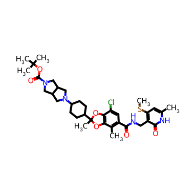 CSc1cc(C)[nH]c(=O)c1CNC(=O)c1cc(Cl)c2c(c1C)OC(C)(C1CCC(N3CC4CN(C(=O)OC(C)(C)C)CC4C3)CC1)O2